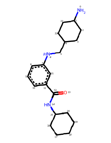 NC1CCC(CNc2cccc(C(=O)NC3CCCCC3)c2)CC1